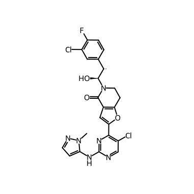 Cn1nccc1Nc1ncc(Cl)c(-c2cc3c(o2)CCN([C@@H](O)[CH]c2ccc(F)c(Cl)c2)C3=O)n1